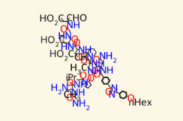 CCCCCCOc1ccc(-c2noc(-c3ccc(C(=O)NC(CC(N)=O)C(=O)NC(C(=O)N4CCCCC4C(=O)NC(C(=O)NC(CC(=O)O)C(=O)NCC(=O)NC(C=O)CC(=O)O)C(C)C(=O)O)C(C)NCOC4CCCN4C(=O)C(NC(=O)C(NC(=O)CN)C(C)N)C(C)C)cc3)n2)cc1